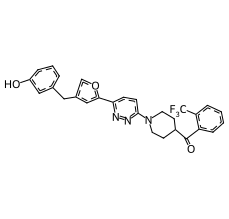 O=C(c1ccccc1C(F)(F)F)C1CCN(c2ccc(-c3cc(Cc4cccc(O)c4)co3)nn2)CC1